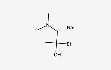 CCC(C)(O)CN(C)C.[Na]